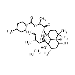 C=C[C@@H](C)CC(=O)[C@]1(O)[C@@H](C)C[C@H](O)[C@H]2C(C)(C)CC[C@](O)(OC(=O)N(C)OC(=O)N3CCC(C)CC3)[C@@]21C.Cl.O